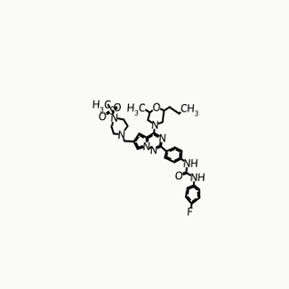 CCCC1CN(c2nc(-c3ccc(NC(=O)Nc4ccc(F)cc4)cc3)nn3cc(CN4CCN(S(C)(=O)=O)CC4)cc23)CC(C)O1